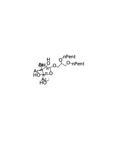 CCCCCOCC(COC1O[C@H](CO)[C@](O)(C(C)=O)[C@@](O)(C(C)=O)[C@]1(O)C(C)=O)OCCCCC